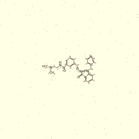 CN(C)CCNC(=O)c1cccc(CONC(=O)c2ccccc2NCc2ccncc2)c1